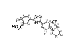 Cc1cc(-c2nc(-c3ccc(F)c(C(=O)O)c3)no2)cc(C(F)(F)F)c1N1CCCCC1C